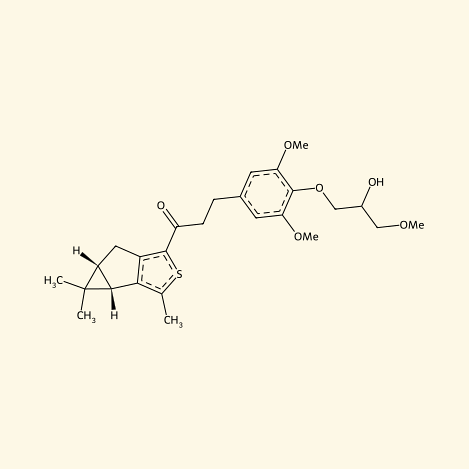 COCC(O)COc1c(OC)cc(CCC(=O)c2sc(C)c3c2C[C@@H]2[C@H]3C2(C)C)cc1OC